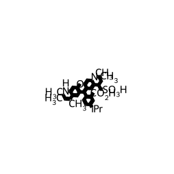 CC1=CC(C)(C)Nc2cc3c(cc21)C(c1ccc(C(C)C)cc1C(=O)O)=c1cc2c(cc1O3)=NC(C)(C)CC2CS(=O)(=O)O